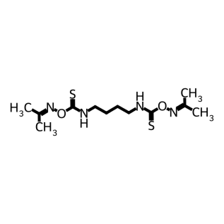 CC(C)=NOC(=S)NCCCCNC(=S)ON=C(C)C